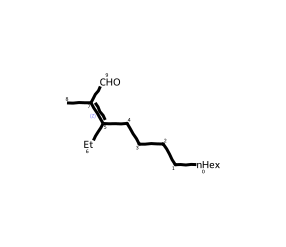 CCCCCCCCCC/C(CC)=C(/C)C=O